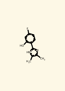 Cc1nc(-c2ccc(F)cc2O)[nH]c1C